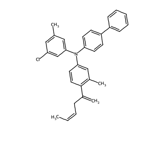 C=C(C/C=C\C)c1ccc(N(c2ccc(-c3ccccc3)cc2)c2cc(C)cc(Cl)c2)cc1C